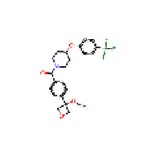 COC1(c2ccc(C(=O)N3CCC(Oc4ccc(C(F)(F)F)cc4)CC3)cc2)COC1